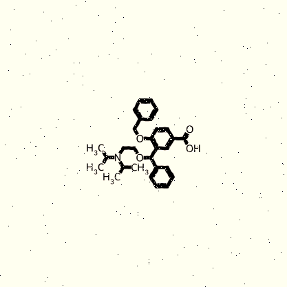 CC(C)N(CCOC(c1ccccc1)c1cc(C(=O)O)ccc1OCc1ccccc1)C(C)C